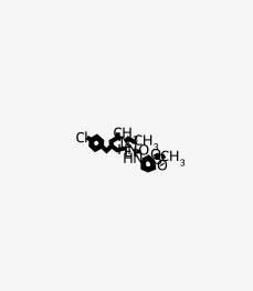 CCC1CC(Cc2ccc(Cl)cc2)CC(C)N1CC(C)NC(=O)Nc1cccc(S(C)(=O)=O)c1